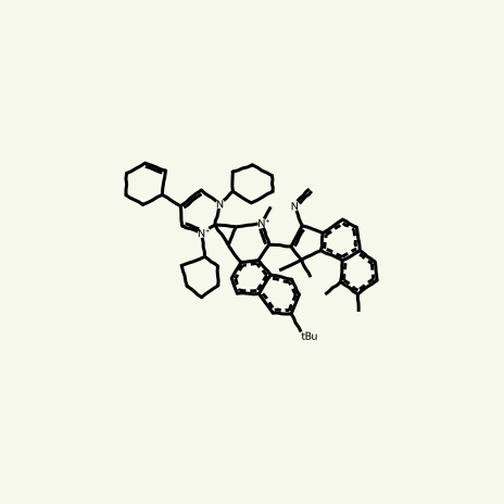 C=NC1=C(C2=[N+](C)C3C(c4ccc5cc(C(C)(C)C)ccc5c42)C32N(C3CCCCC3)C=C(C3C=CCCC3)C=[N+]2C2CCCCC2)C(C)(C)c2c1ccc1ccc(C)c(C)c21